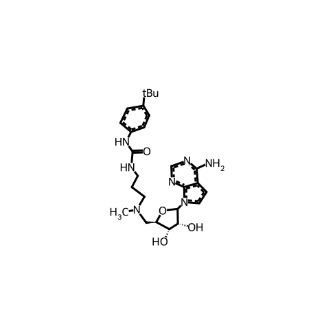 CN(CCCNC(=O)Nc1ccc(C(C)(C)C)cc1)C[C@H]1OC(n2ccc3c(N)ncnc32)[C@H](O)[C@@H]1O